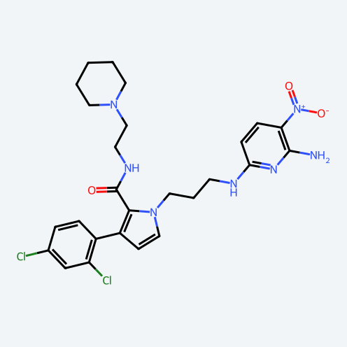 Nc1nc(NCCCn2ccc(-c3ccc(Cl)cc3Cl)c2C(=O)NCCN2CCCCC2)ccc1[N+](=O)[O-]